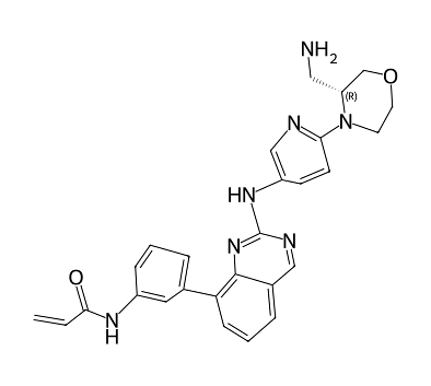 C=CC(=O)Nc1cccc(-c2cccc3cnc(Nc4ccc(N5CCOC[C@H]5CN)nc4)nc23)c1